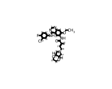 CCOc1cc2ncnc(Nc3ccc(F)c(Cl)c3)c2cc1NC(=O)/C(F)=C/CN1C[C@@H]2OCCO[C@H]2C1